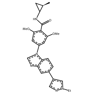 CCn1cc(-c2ccc3c(c2)ncn3-c2cc(OC)c(C(=O)NC3C[C@H]3C)c(OC)c2)cn1